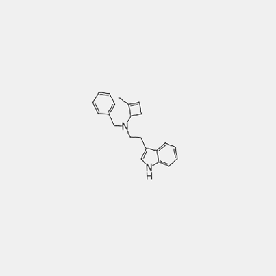 CC1=CCC1N(CCc1c[nH]c2ccccc12)Cc1ccccc1